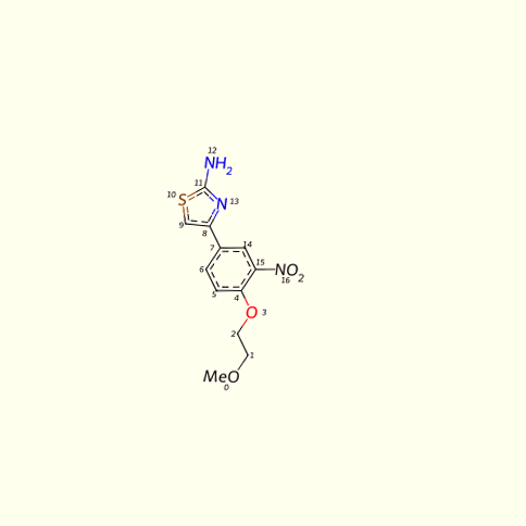 COCCOc1ccc(-c2csc(N)n2)cc1[N+](=O)[O-]